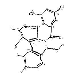 CCOc1ccc(C)c(C)c1-c1c(OC(=O)c2cc(Cl)cc(Cl)c2)ccc(C)c1C